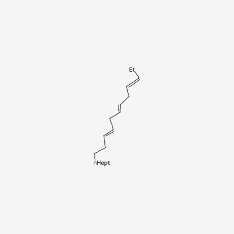 [CH2]CCCCCCCC/C=C/C/C=C/C/C=C/CC